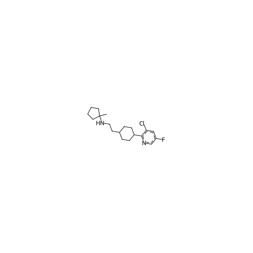 CC1(NCCC2CCC(c3ncc(F)cc3Cl)CC2)CCCC1